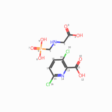 O=C(O)CNCP(=O)(O)O.O=C(O)c1nc(Cl)ccc1Cl